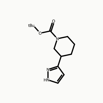 CC(C)(C)OC(=O)N1CCCC(c2cc[nH]n2)C1